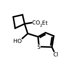 CCOC(=O)C1(C(O)c2ccc(Cl)s2)CCC1